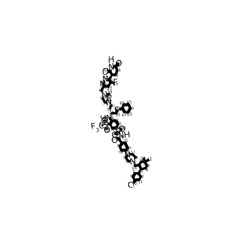 CC1(C)CCC(c2ccc(Cl)cc2)=C(CN2CCN(c3ccc(C(=O)NS(=O)(=O)c4ccc(N[C@H](CCN5CCN(Cc6cc(F)c(C7CCC(=O)NC7=O)nn6)CC5)CSc5ccccc5)c(S(=O)(=O)C(F)(F)F)c4)cc3)CC2)C1